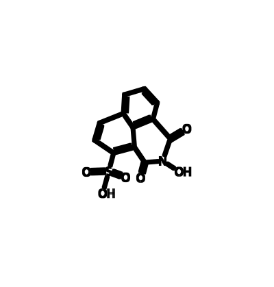 O=C1c2cccc3ccc(S(=O)(=O)O)c(c23)C(=O)N1O